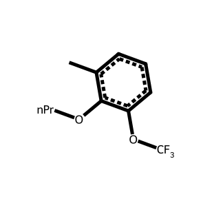 CCCOc1c(C)cccc1OC(F)(F)F